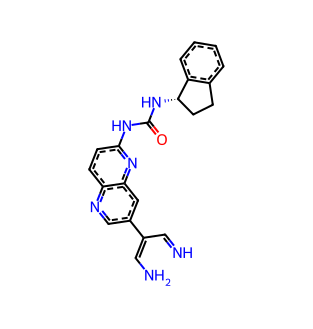 N=C/C(=C\N)c1cnc2ccc(NC(=O)N[C@H]3CCc4ccccc43)nc2c1